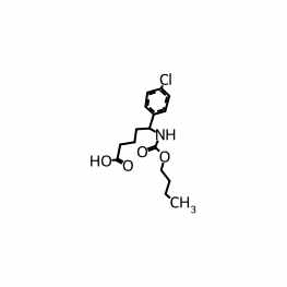 CCCCOC(=O)NC(CCCC(=O)O)c1ccc(Cl)cc1